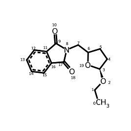 CCO[C@@H]1CCC(CN2C(=O)c3ccccc3C2=O)O1